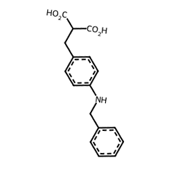 O=C(O)C(Cc1ccc(NCc2ccccc2)cc1)C(=O)O